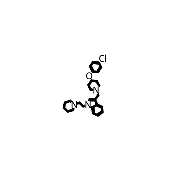 Clc1ccc(OC2CCN(Cc3cn(CCN4CCCCC4)c4ccccc34)CC2)cc1